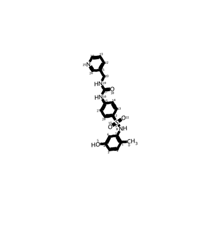 Cc1ccc(O)cc1NS(=O)(=O)c1ccc(NC(=O)NCc2cccnc2)cc1